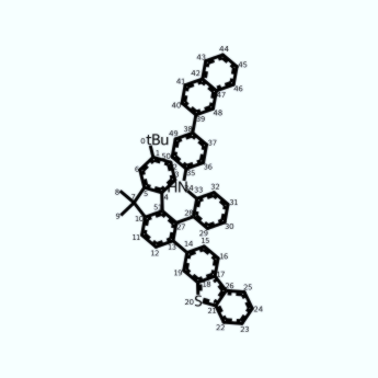 CC(C)(C)c1ccc2c(c1)C(C)(C)c1ccc(-c3ccc4c(c3)sc3ccccc34)c(-c3ccccc3Nc3ccc(-c4ccc5ccccc5c4)cc3)c1-2